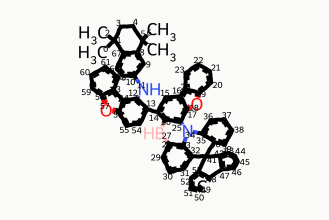 CC1(C)CCC(C)(C)c2cc(Nc3c(-c4cc5c(oc6ccccc65)c5c4Bc4cccc6c4N5c4ccccc4C64c5ccccc5-c5ccccc54)ccc4oc5ccccc5c34)ccc21